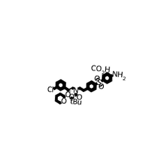 CC(C)(C)OC(=O)N(CCc1ccc(S(=O)(=O)c2ccc(N)c(C(=O)O)c2)cc1)C[C@@H](OC1CCCCO1)c1cccc(Cl)c1